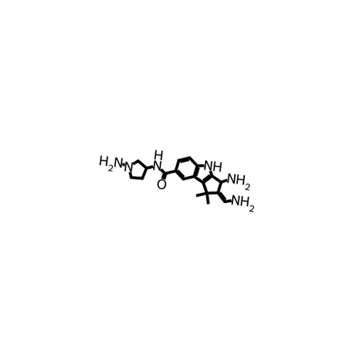 CC1(C)/C(=C/N)C(N)c2[nH]c3ccc(C(=O)NC4CCN(N)C4)cc3c21